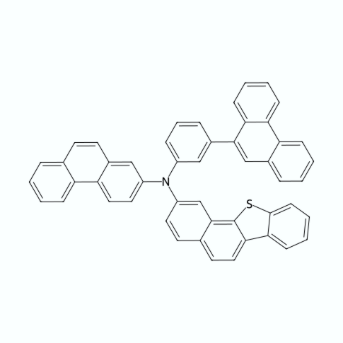 c1cc(-c2cc3ccccc3c3ccccc23)cc(N(c2ccc3c(ccc4ccccc43)c2)c2ccc3ccc4c5ccccc5sc4c3c2)c1